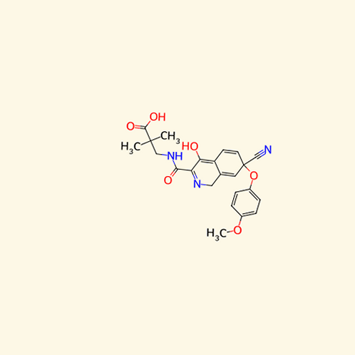 COc1ccc(OC2(C#N)C=CC3=C(O)C(C(=O)NCC(C)(C)C(=O)O)=NCC3=C2)cc1